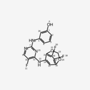 Oc1cccc(Nc2ncc(F)c(Nc3cc4c(F)c(F)c3OCO4)n2)c1